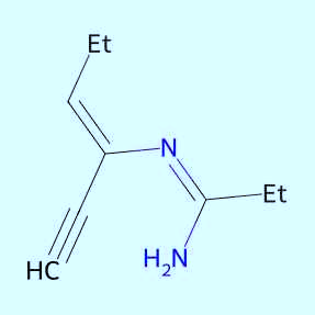 C#CC(=C/CC)/N=C(\N)CC